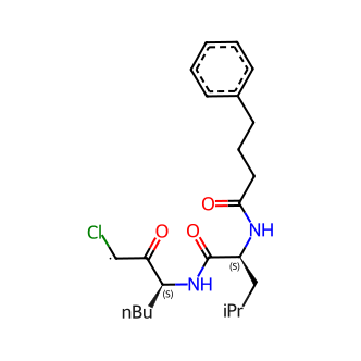 CCCC[C@H](NC(=O)[C@H](CC(C)C)NC(=O)CCCc1ccccc1)C(=O)[CH]Cl